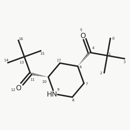 CC(C)(C)C(=O)[C@@H]1CCN[C@H](C(=O)C(C)(C)C)C1